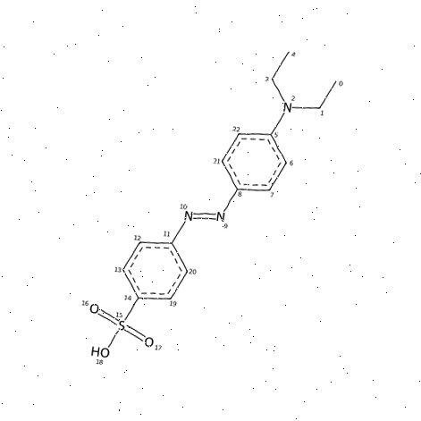 CCN(CC)c1ccc(/N=N/c2ccc(S(=O)(=O)O)cc2)cc1